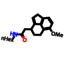 CCCCCCNC(=O)CC1CCc2c(OC)ccc3c2C1=CC3